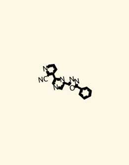 N#Cc1ncccc1-c1cncc(-c2nnc(-c3ccccc3)o2)n1